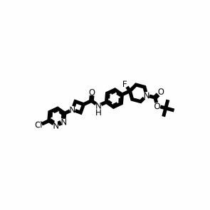 CC(C)(C)OC(=O)N1CCC(F)(c2ccc(NC(=O)C3CN(c4ccc(Cl)nn4)C3)cc2)CC1